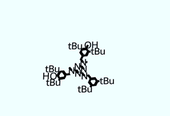 CN(Cc1cc(C(C)(C)C)cc(C(C)(C)C)c1)c1nc(N(C)Cc2cc(C(C)(C)C)c(O)c(C(C)(C)C)c2)nc(N(C)Cc2cc(C(C)(C)C)c(O)c(C(C)(C)C)c2)n1